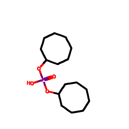 O=P(O)(OC1CCCCCCC1)OC1CCCCCCC1